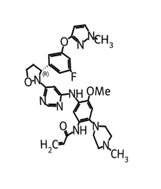 C=CC(=O)Nc1cc(Nc2cc(N3OCC[C@@H]3c3cc(F)cc(Oc4ccn(C)n4)c3)ncn2)c(OC)cc1N1CCN(C)CC1